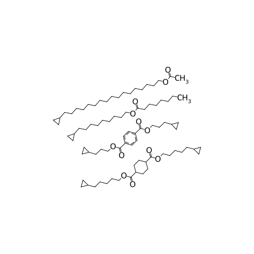 CC(=O)OCCCCCCCCCCCCCCCCCC1CC1.CCCCCCCC(=O)OCCCCCCCCCC1CC1.O=C(OCCCC1CC1)c1ccc(C(=O)OCCCC2CC2)cc1.O=C(OCCCCCC1CC1)C1CCC(C(=O)OCCCCCC2CC2)CC1